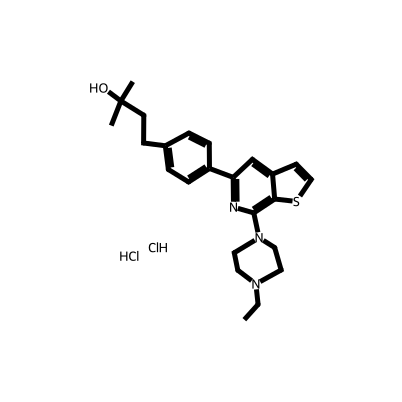 CCN1CCN(c2nc(-c3ccc(CCC(C)(C)O)cc3)cc3ccsc23)CC1.Cl.Cl